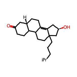 CC(C)CCCC12CCC3C(=C1C[C@@H](O)C2)CC[C@H]1CC(=O)CCC31